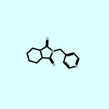 O=C1C2CCCCC2C(=O)N1Cc1ccncc1